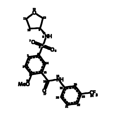 COc1ccc(S(=O)(=O)N[C@H]2CCOC2)cc1C(=O)Nc1cccc(C(F)(F)F)c1